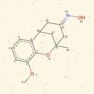 COc1cccc2c1OC1(C)CC(=NO)CC2C1